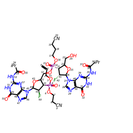 C=CCOP(=O)(OCCC#N)[C@@H]1C(COP(=O)(OCCCC#N)[C@@H]2C(CO)OC(n3cnc4c(=O)[nH]c(NC(=O)C(C)C)nc43)[C@@H]2F)OC(n2cnc3c(=O)[nH]c(NC(=O)C(C)C)nc32)[C@@H]1F